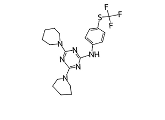 FC(F)(F)Sc1ccc(Nc2nc(N3CCCCC3)nc(N3CCCCC3)n2)cc1